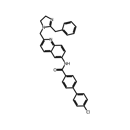 O=C(Nc1ccc2nc(CN3CCN=C3Cc3ccccc3)ccc2c1)c1ccc(-c2ccc(Cl)cc2)cc1